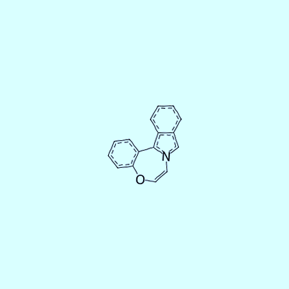 C1=Cn2cc3ccccc3c2-c2ccccc2O1